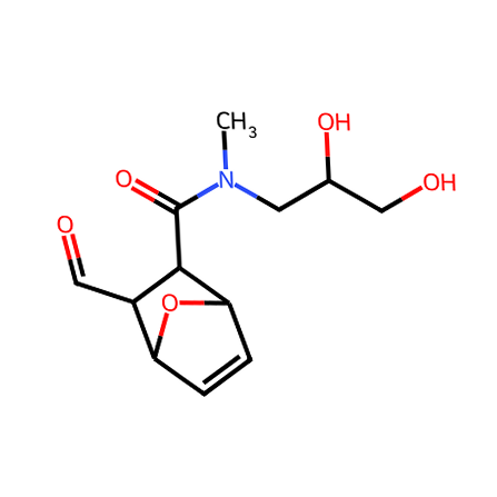 CN(CC(O)CO)C(=O)C1C2C=CC(O2)C1C=O